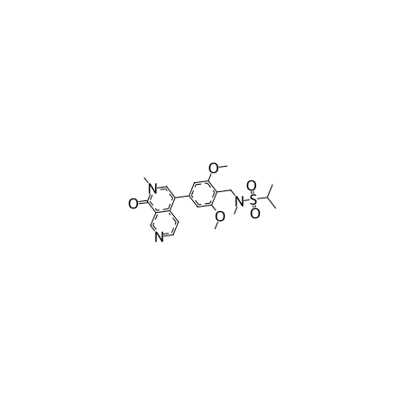 COc1cc(-c2cn(C)c(=O)c3cnccc23)cc(OC)c1CN(C)S(=O)(=O)C(C)C